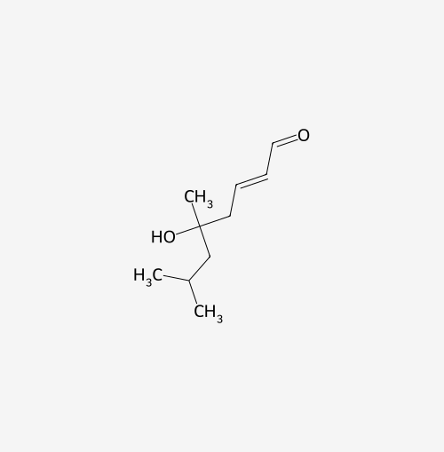 CC(C)CC(C)(O)C/C=C/C=O